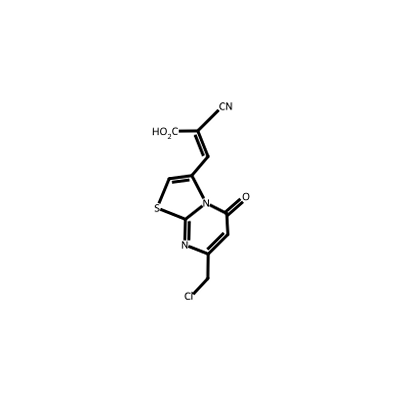 N#CC(=Cc1csc2nc(CCl)cc(=O)n12)C(=O)O